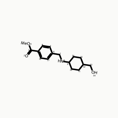 COC(=O)c1ccc(CNC2CCC(CO)CC2)cc1